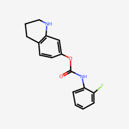 O=C(Nc1ccccc1F)Oc1ccc2c(c1)NCCC2